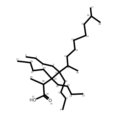 CCCCC(CCCC)(C(C)CCCCCC(C)C)C(CCCC)(CCCC)C(C)C(=O)O